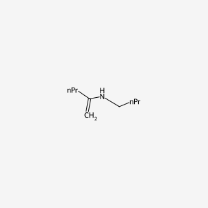 C=C(CCC)NCCCC